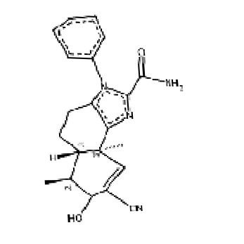 C[C@@H]1C(O)C(C#N)=C[C@]2(C)c3nc(C(N)=O)n(-c4ccccc4)c3CC[C@@H]12